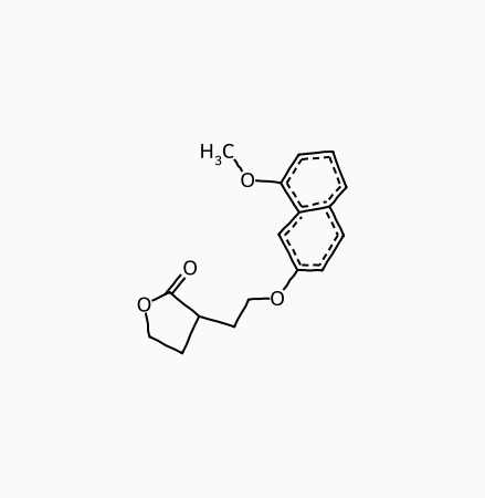 COc1cccc2ccc(OCCC3CCOC3=O)cc12